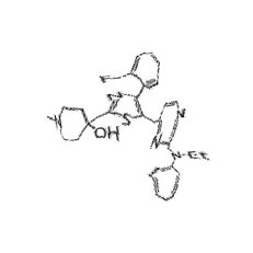 CCN(c1ccccc1)c1nccc(-c2sc(C3(O)CCN(C)CC3)nc2-c2ccccc2F)n1